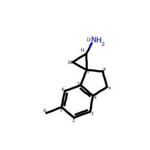 Cc1ccc2c(c1)C1(CC2)CC1N